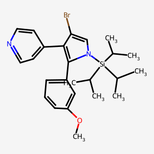 COc1cccc(-c2c(-c3ccncc3)c(Br)cn2[Si](C(C)C)(C(C)C)C(C)C)c1